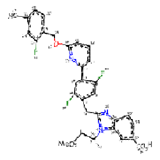 COC[C@@H](C)n1c(Cc2cc(F)c(-c3cccc(OCc4ccc(C#N)cc4F)n3)cc2F)nc2ccc(C(=O)O)cc21